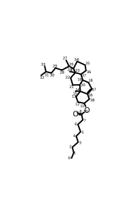 CCCCCCCCC(=O)OC1CCC2(C)C(=CCC3C2CCC2(C)C(C(C)CCCC(C)C)CCCC32)C1